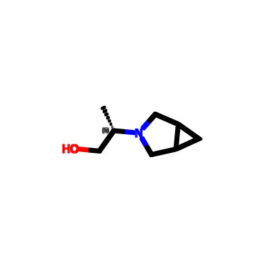 C[C@@H](CO)N1CC2CC2C1